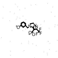 COC(=O)c1c(C(F)(F)F)nn2c1N(Cc1cccc(OC)c1)CC2